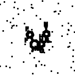 Cc1ccc(-c2ccc(F)cc2F)cc2[nH]c(N(C)c3ccc(C#N)cc3)cc(=O)n2[nH]1